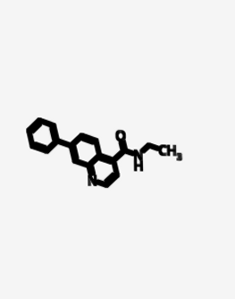 CCNC(=O)c1ccnc2cc(-c3ccccc3)ccc12